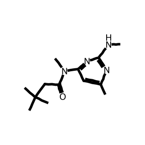 CNc1nc(C)cc(N(C)C(=O)CC(C)(C)C)n1